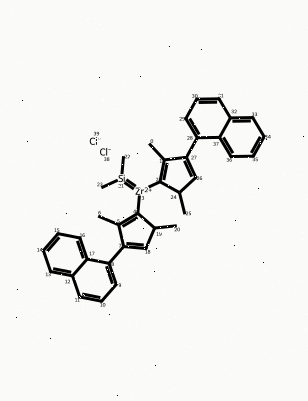 CC1=[C]([Zr+2]([C]2=C(C)C(c3cccc4ccccc34)=CC2C)=[Si](C)C)C(C)C=C1c1cccc2ccccc12.[Cl-].[Cl-]